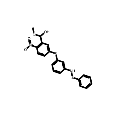 COC(O)c1cc(Sc2cccc(NSc3ccccc3)c2)ccc1[N+](=O)[O-]